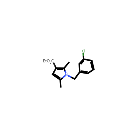 CCOC(=O)c1cc(C)n(Cc2cccc(Cl)c2)c1C